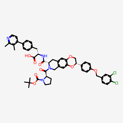 Cc1nccc(-c2ccc(C[C@H](NC(=O)[C@@H]3Cc4cc5c(cc4CN3C(=O)[C@H]3CCCN3C(=O)OC(C)(C)C)O[C@@H](c3ccc(OCc4ccc(Cl)c(Cl)c4)cc3)CO5)C(=O)O)cc2)c1C